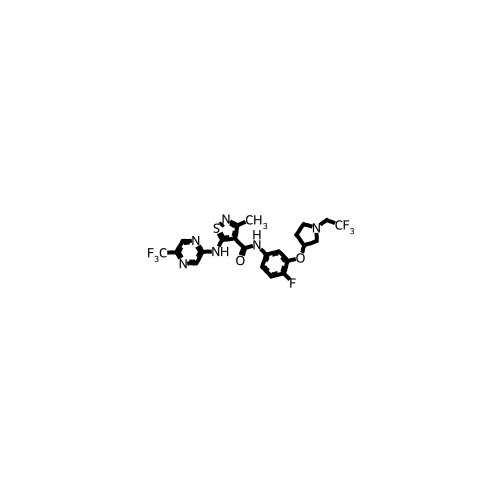 Cc1nsc(Nc2cnc(C(F)(F)F)cn2)c1C(=O)Nc1ccc(F)c(OC2CCN(CC(F)(F)F)C2)c1